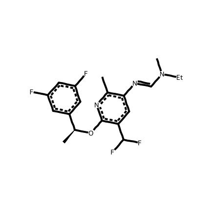 CCN(C)/C=N/c1cc(C(F)F)c(O[C@@H](C)c2cc(F)cc(F)c2)nc1C